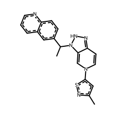 Cc1cc(N2C=CC3=NNN(C(C)c4ccc5ncccc5c4)C3=C2)sn1